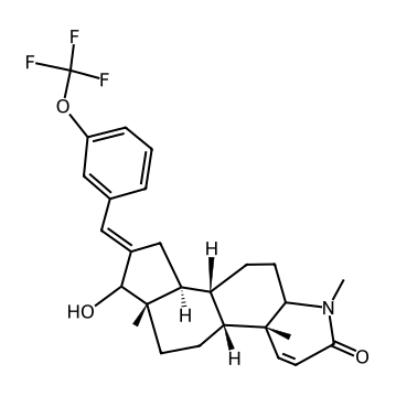 CN1C(=O)C=C[C@@]2(C)C1CC[C@@H]1[C@H]2CC[C@]2(C)C(O)C(=Cc3cccc(OC(F)(F)F)c3)C[C@@H]12